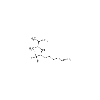 C=CCCCCC(NC(C)C(C)C)C(F)(F)F